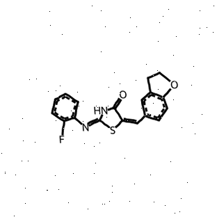 O=C1NC(=Nc2ccccc2F)SC1=Cc1ccc2c(c1)CCO2